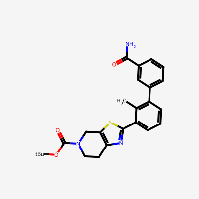 Cc1c(-c2cccc(C(N)=O)c2)cccc1-c1nc2c(s1)CN(C(=O)OC(C)(C)C)CC2